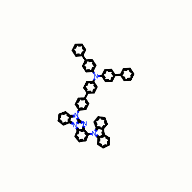 c1ccc(-c2ccc(N(c3ccc(-c4ccccc4)cc3)c3ccc(-c4ccc(-n5c6ccccc6n6c7cccc(-n8c9ccccc9c9ccccc98)c7nc56)cc4)cc3)cc2)cc1